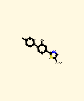 [C-]#[N+]c1cc(-c2ncc(C(=O)O)s2)ccc1-c1ccc(C)cc1